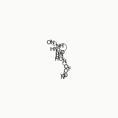 CC(=O)N1CCC(NC2NCNC(C(=O)NC[C@H](O)CN3CCc4cc(OCc5ocnc5C)c(F)cc4C3)C23CC/C=C\CCCCCC3)CC1